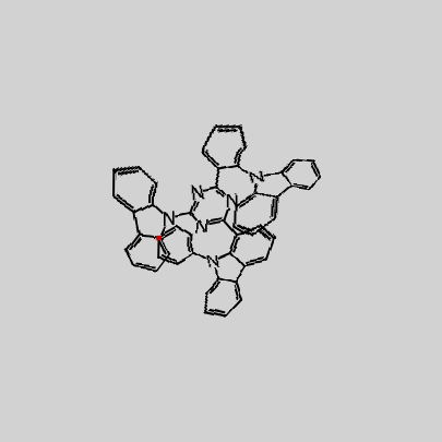 c1ccc(-n2c3ccccc3c3cccc(-c4nc(-c5ccccc5-n5c6ccccc6c6ccccc65)nc(-n5c6ccccc6c6ccccc65)n4)c32)cc1